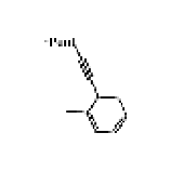 CCCCCC#CC1CC=CC=C1C